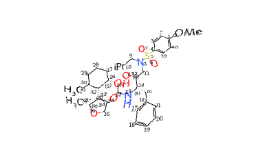 COc1ccc(S(=O)(=O)N(CC(C)C)C[C@@H](O)[C@H](Cc2ccccc2)NC(=O)O[C@H]2CCCC(C)C2[C@@H]2CCO[C@@H]2C)cc1